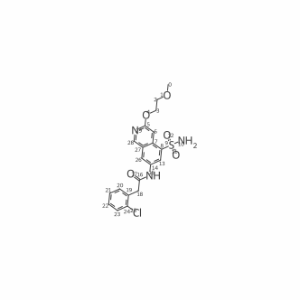 COCCOc1cc2c(S(N)(=O)=O)cc(NC(=O)Cc3ccccc3Cl)cc2cn1